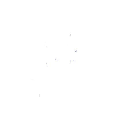 C=C(/C=C\C)NNC(=C)C(=C)NNc1ccccc1